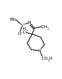 C/C(=N/[S+]([O-])C(C)(C)C)C1(C)CCN(C(=O)O)CC1